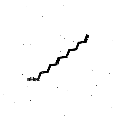 [CH2]CCCCCCCCC=CCCCCC=C